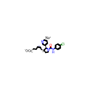 O=C([O-])CC/C=C\C[C@@H]1CCN(C(=O)Nc2ccc(Cl)cc2)[C@@H]1c1cccnc1.[Na+]